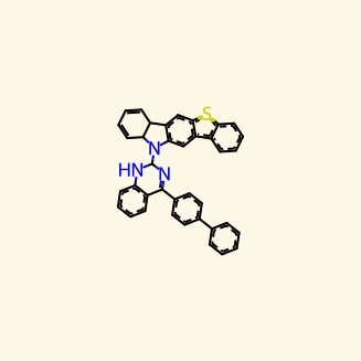 C1=CC2c3cc4sc5ccccc5c4cc3N(C3N=C(c4ccc(-c5ccccc5)cc4)c4ccccc4N3)C2C=C1